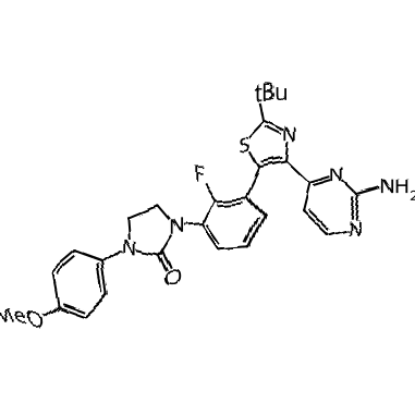 COc1ccc(N2CCN(c3cccc(-c4sc(C(C)(C)C)nc4-c4ccnc(N)n4)c3F)C2=O)cc1